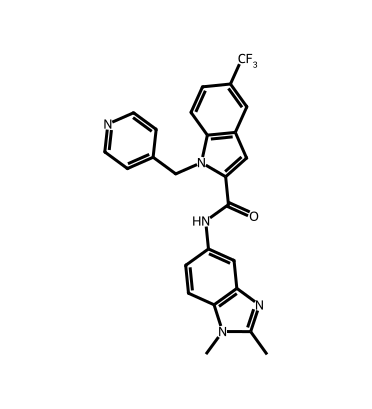 Cc1nc2cc(NC(=O)c3cc4cc(C(F)(F)F)ccc4n3Cc3ccncc3)ccc2n1C